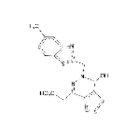 O=C(O)CC1=NN(Cc2nc3cc(C(F)(F)F)ccc3s2)C(O)c2cscc21